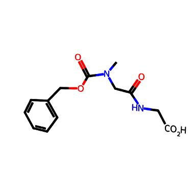 CN(CC(=O)NCC(=O)O)C(=O)OCc1ccccc1